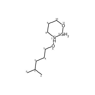 CC(C)CCCO[SiH]1CCCO[SiH2]1